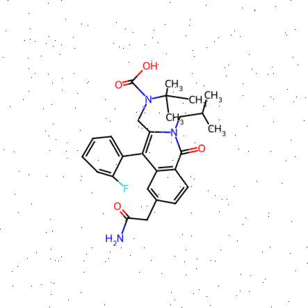 CC(C)Cn1c(CN(C(=O)O)C(C)(C)C)c(-c2ccccc2F)c2cc(CC(N)=O)ccc2c1=O